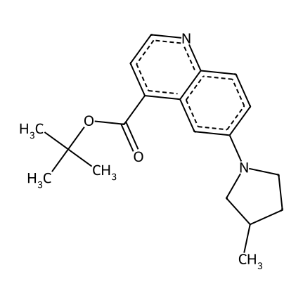 CC1CCN(c2ccc3nccc(C(=O)OC(C)(C)C)c3c2)C1